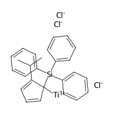 CC(C)C1=CC=C[C]1([Ti+3])[Si](c1ccccc1)(c1ccccc1)c1ccccc1.[Cl-].[Cl-].[Cl-]